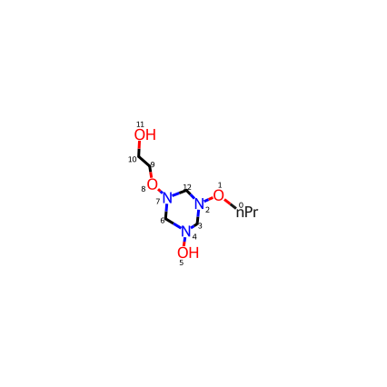 CCCON1CN(O)CN(OCCO)C1